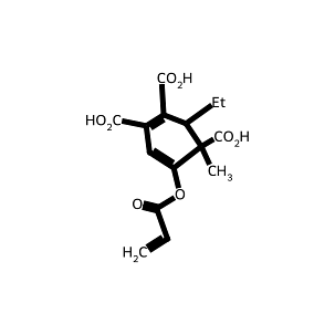 C=CC(=O)OC1=CC(C(=O)O)=C(C(=O)O)C(CC)C1(C)C(=O)O